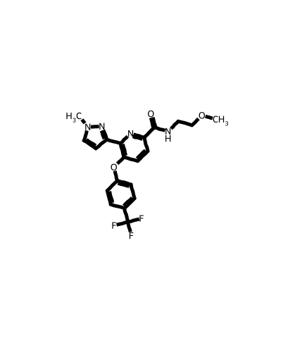 COCCNC(=O)c1ccc(Oc2ccc(C(F)(F)F)cc2)c(-c2ccn(C)n2)n1